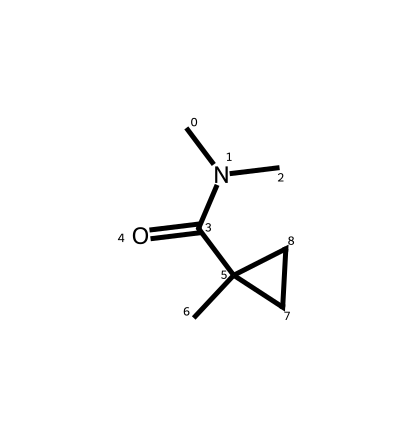 CN(C)C(=O)C1(C)CC1